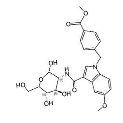 COC(=O)c1ccc(Cn2cc(C(=O)N[C@H]3C(O)OC(CO)[C@@H](O)[C@@H]3O)c3cc(OC)ccc32)cc1